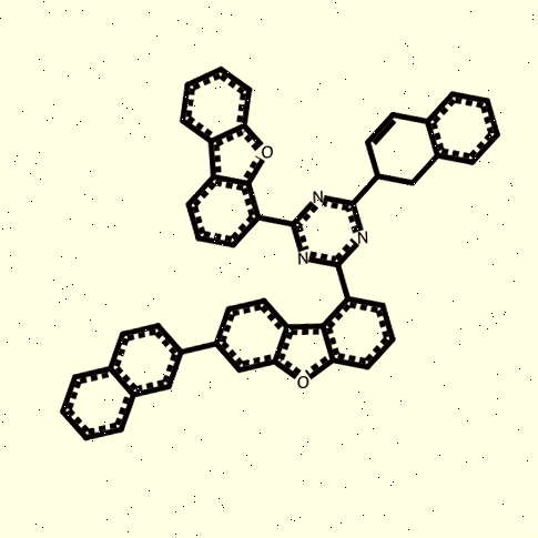 C1=CC(c2nc(-c3cccc4c3oc3ccccc34)nc(-c3cccc4oc5cc(-c6ccc7ccccc7c6)ccc5c34)n2)Cc2ccccc21